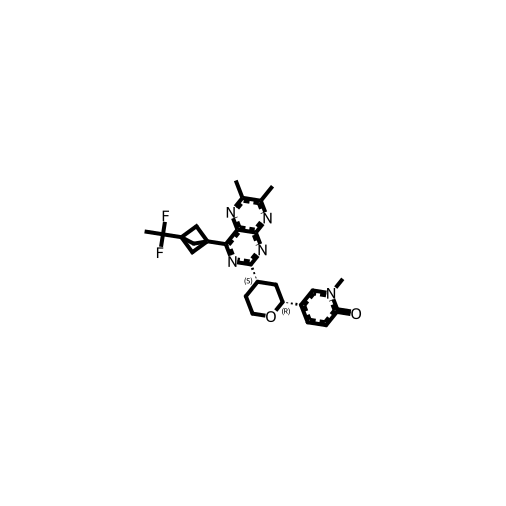 Cc1nc2nc([C@H]3CCO[C@@H](c4ccc(=O)n(C)c4)C3)nc(C34CC(C(C)(F)F)(C3)C4)c2nc1C